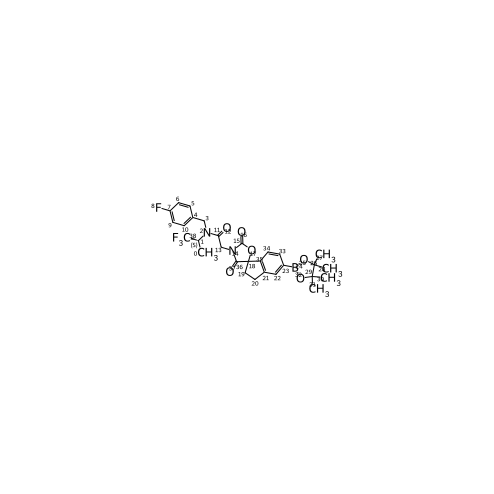 C[C@H](N(Cc1ccc(F)cc1)C(=O)CN1C(=O)OC2(CCc3cc(B4OC(C)(C)C(C)(C)O4)ccc32)C1=O)C(F)(F)F